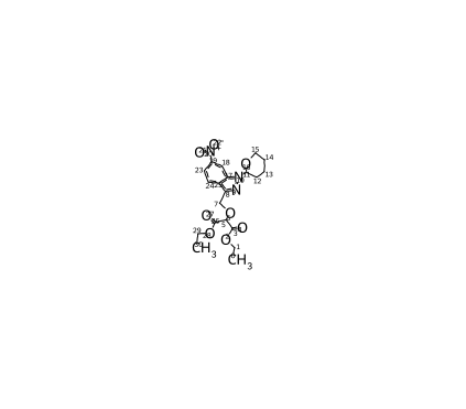 CCOC(=O)C(OCc1nn(C2CCCCO2)c2cc([N+](=O)[O-])ccc12)C(=O)OCC